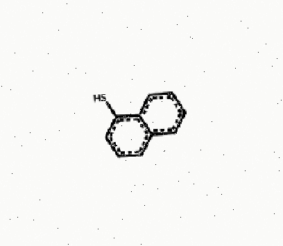 Sc1cccc2ccccc12